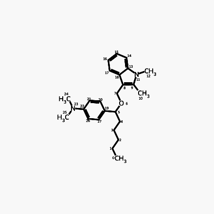 CCCCCC(OCc1c(C)n(C)c2ccccc12)c1ccc(N(C)C)cc1